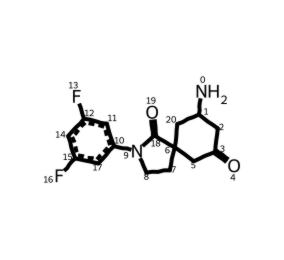 NC1CC(=O)CC2(CCN(c3cc(F)cc(F)c3)C2=O)C1